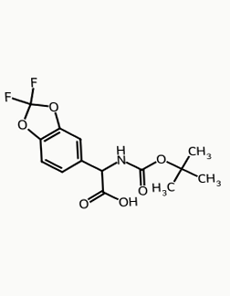 CC(C)(C)OC(=O)NC(C(=O)O)c1ccc2c(c1)OC(F)(F)O2